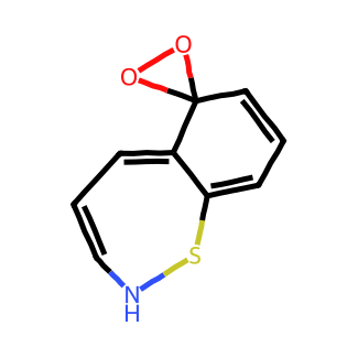 C1=CNSC2=CC=CC3(OO3)C2=C1